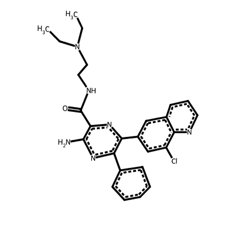 CCN(CC)CCNC(=O)c1nc(-c2cc(Cl)c3ncccc3c2)c(-c2ccccc2)nc1N